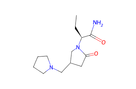 CC[C@@H](C(N)=O)N1CC(CN2CCCC2)CC1=O